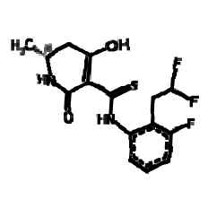 C[C@@H]1CC(O)=C(C(=S)Nc2cccc(F)c2CC(F)F)C(=O)N1